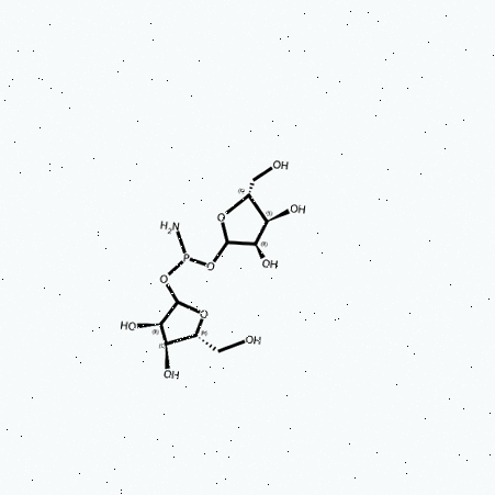 NP(OC1O[C@H](CO)[C@@H](O)[C@H]1O)OC1O[C@H](CO)[C@@H](O)[C@H]1O